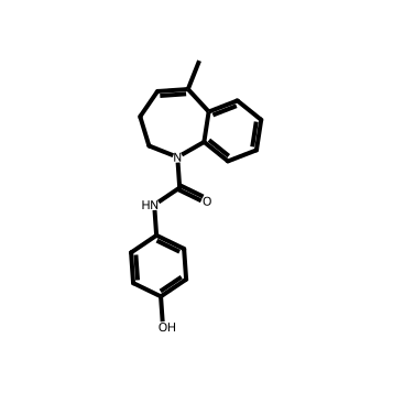 CC1=CCCN(C(=O)Nc2ccc(O)cc2)c2ccccc21